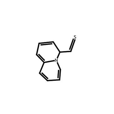 S=CC1C=CC=C2C=CC=CN21